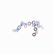 NC(=O)c1c(-c2ccc(Oc3ccccc3)cc2)nn2c1NCC[C@H]2C1CCN(C(=O)Cn2cc(N3CCC4(CC3)CNC4)cn2)CC1